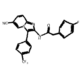 N#Cc1ccc2nc(NC(=O)Cc3ccc(F)cc3)c(-c3ccc(C(F)(F)F)cc3)n2c1